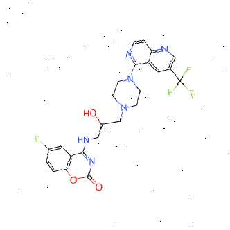 O=c1nc(NCC(O)CN2CCN(c3nccc4ncc(C(F)(F)F)cc34)CC2)c2cc(F)ccc2o1